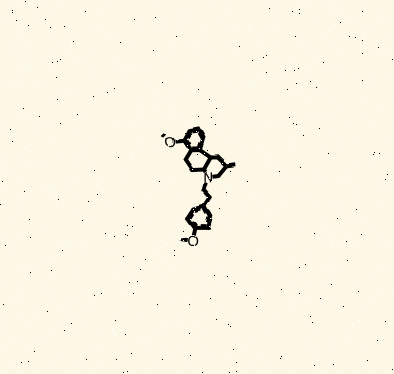 COc1ccc(CCN2CC(C)CC3c4cccc(OC)c4CCC32)cc1